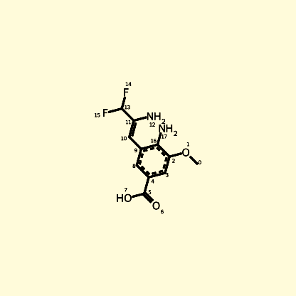 COc1cc(C(=O)O)cc(/C=C(\N)C(F)F)c1N